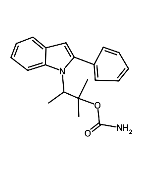 CC(n1c(-c2ccccc2)cc2ccccc21)C(C)(C)OC(N)=O